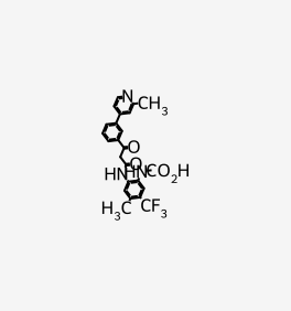 Cc1cc(-c2cccc(C(=O)CC(=O)Nc3cc(C)c(C(F)(F)F)cc3NC(=O)O)c2)ccn1